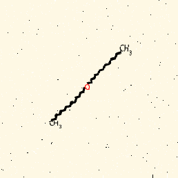 CCCCCCCCCCCCCCC[CH]OCCCCCCCCCCCCCCC